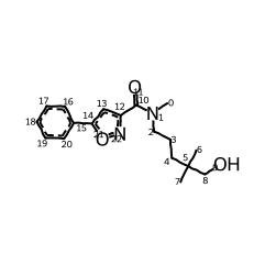 CN(CCCC(C)(C)CO)C(=O)c1cc(-c2ccccc2)on1